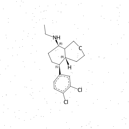 CCN[C@@H]1CC[C@H](c2ccc(Cl)c(Cl)c2)[C@H]2CCCCC12